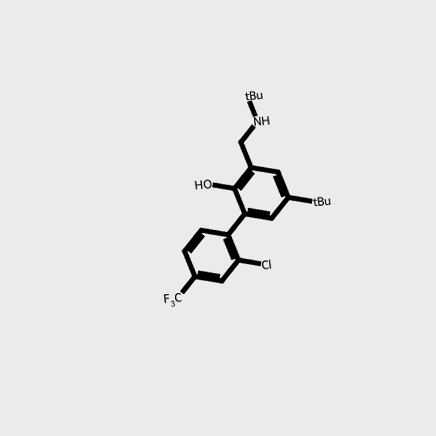 CC(C)(C)NCc1cc(C(C)(C)C)cc(-c2ccc(C(F)(F)F)cc2Cl)c1O